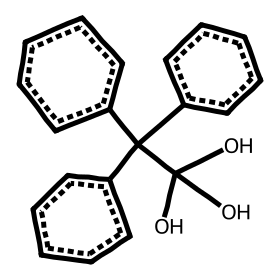 OC(O)(O)C(c1ccccc1)(c1ccccc1)c1ccccc1